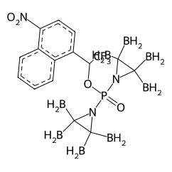 BC1(B)N(P(=O)(OC(c2ccc([N+](=O)[O-])c3ccccc23)C(F)(F)F)N2C(B)(B)C2(B)B)C1(B)B